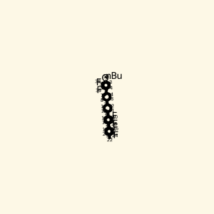 CCCCOc1ccc(C2=CCC(C3CC=C(c4ccc(-c5ccc(C)c(F)c5F)c(F)c4F)CC3)CC2)c(F)c1F